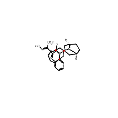 CCOC(=O)C(=NO)c1nc2ccccc2n([C@H]2C[C@H]3CC[C@@H](C2)N3C2CC3CCCCC(C3)C2)c1=O